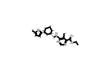 CCOC(=O)c1ncnc(NC[C@H]2CCC[C@@H](c3ccc(C)o3)C2)c1C